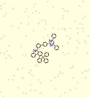 c1ccc(-c2cc(-c3ccccc3)nc(-c3ccc(-c4cccc(-c5nc6ccccc6c6c7c(ccc56)C(c5ccccc5)(c5ccccc5)c5ccccc5-7)c4)cc3)n2)cc1